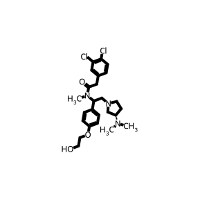 CN(C(=O)Cc1ccc(Cl)c(Cl)c1)C(CN1CC[C@H](N(C)C)C1)c1ccc(OCCO)cc1